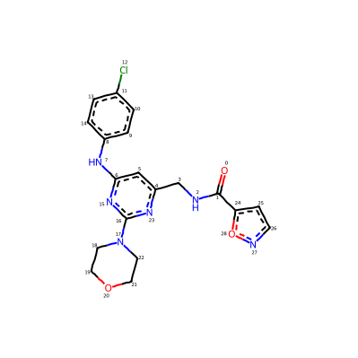 O=C(NCc1cc(Nc2ccc(Cl)cc2)nc(N2CCOCC2)n1)c1ccno1